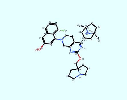 Oc1cc(N2CCc3c(nc(OCC45CCCN4CCC5)nc3[C@H]3C[C@H]4CC[C@@H](C3)N4)C2)c2c(F)cccc2c1